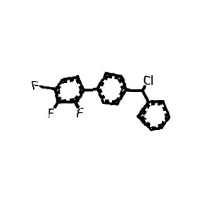 Fc1ccc(-c2ccc(C(Cl)c3ccccc3)cc2)c(F)c1F